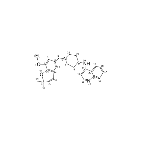 CCOc1cc(CN2CCC(Nc3ccnc4ccccc34)CC2)cc2c1OC(C)(C)C=C2